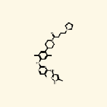 Cc1cc(Nc2nc(Nc3cc(C)c(C4CCN(C(=O)CCCN5CCCC5)CC4)cc3C)ncc2Cl)n[nH]1